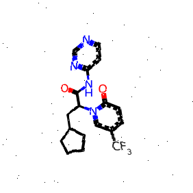 O=C(Nc1ccncn1)C(CC1CCCC1)n1cc(C(F)(F)F)ccc1=O